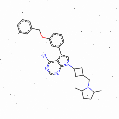 CC1CCC(C)N1CC1CC(n2cc(-c3cccc(OCc4ccccc4)c3)c3c(N)ncnc32)C1